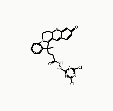 CC1(CCC(=O)NNc2nc(Cl)nc(Cl)n2)C2=C3C=C4C=CC(=O)C=C4SC3CCN2c2ccccc21